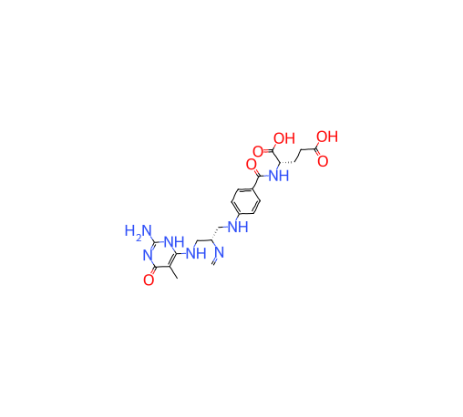 C=N[C@@H](CNc1ccc(C(=O)N[C@@H](CCC(=O)O)C(=O)O)cc1)CNc1[nH]c(N)nc(=O)c1C